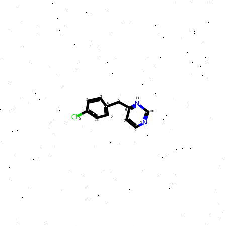 Clc1ccc(Cc2ccn[c]n2)cc1